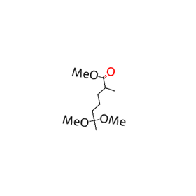 COC(=O)C(C)CCCC(C)(OC)OC